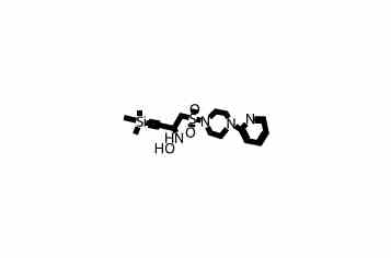 C[Si](C)(C)C#CC(CS(=O)(=O)N1CCN(c2ccccn2)CC1)NO